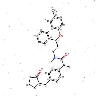 CC(C(=O)N(C)CC[C@H](Oc1ccc(C(F)(F)F)cc1)c1ccccc1)c1ccc(CC2CCCC2=O)cc1